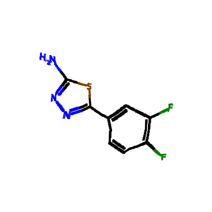 Nc1nnc(-c2ccc(F)c(F)c2)s1